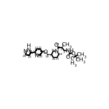 C[C@H](CNC(=O)OC(C)(C)C)C(=O)N1CCC[C@@H](COc2ccc(-c3ccn[nH]3)nc2)C1